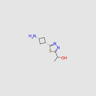 CC(O)c1nnc([C@H]2C[C@@H](N)C2)s1